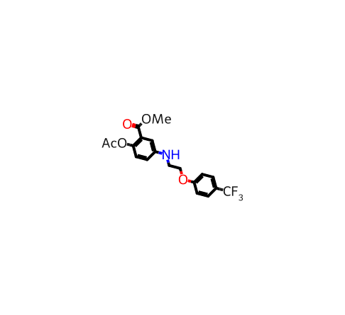 COC(=O)c1cc(NCCOc2ccc(C(F)(F)F)cc2)ccc1OC(C)=O